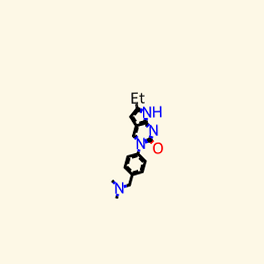 CCc1cc2cn(-c3ccc(CN(C)C)cc3)c(=O)nc2[nH]1